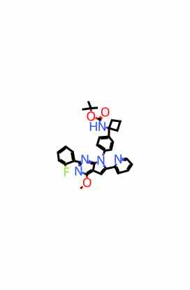 COc1nc(-c2ccccc2F)nc2c1cc(-c1ccccn1)n2-c1ccc(C2(NC(=O)OC(C)(C)C)CCC2)cc1